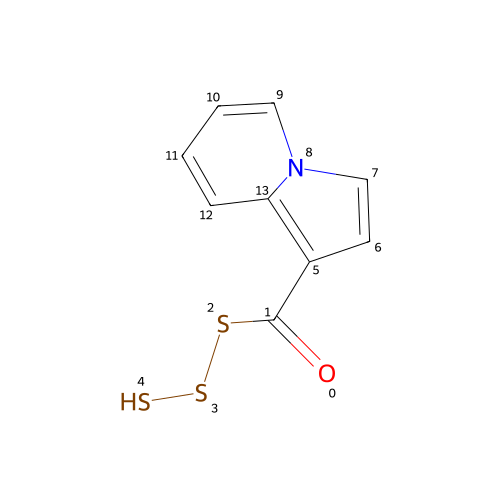 O=C(SSS)c1ccn2ccccc12